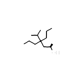 CCCC(CCC)(CC(=O)O)C(C)C